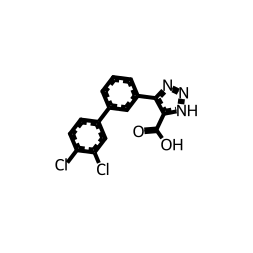 O=C(O)c1[nH]nnc1-c1cccc(-c2ccc(Cl)c(Cl)c2)c1